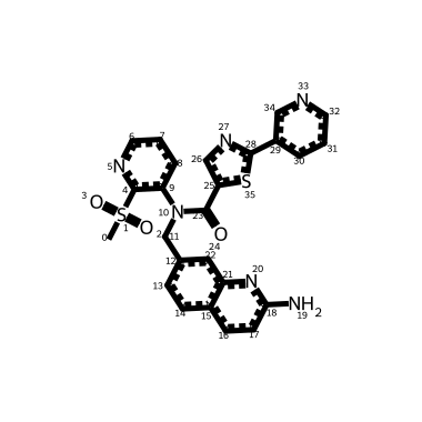 CS(=O)(=O)c1ncccc1N(Cc1ccc2ccc(N)nc2c1)C(=O)c1cnc(-c2cccnc2)s1